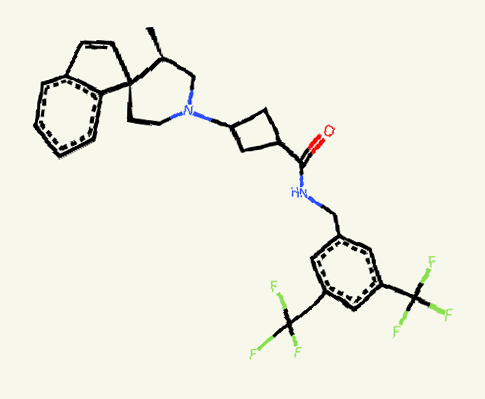 C[C@H]1CN(C2CC(C(=O)NCc3cc(C(F)(F)F)cc(C(F)(F)F)c3)C2)CC[C@@]12C=Cc1ccccc12